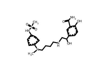 CN(CCCCNCC(O)c1ccc(O)c(C(N)=O)c1)c1ccc(NS(C)(=O)=O)cc1